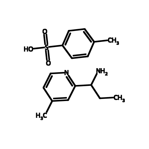 CCC(N)c1cc(C)ccn1.Cc1ccc(S(=O)(=O)O)cc1